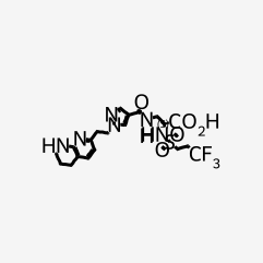 O=C(NC[C@H](NS(=O)(=O)CCC(F)(F)F)C(=O)O)c1cnn(CCc2ccc3c(n2)NCCC3)c1